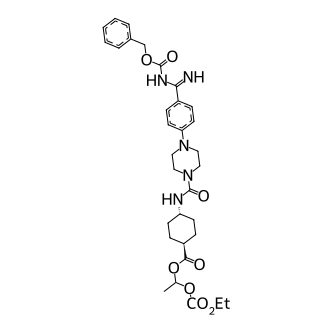 CCOC(=O)OC(C)OC(=O)[C@H]1CC[C@H](NC(=O)N2CCN(c3ccc(C(=N)NC(=O)OCc4ccccc4)cc3)CC2)CC1